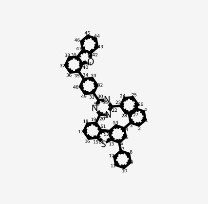 c1ccc(-c2cc(-c3ccccc3)c3sc4cccc(-c5nc(-c6ccccc6)nc(-c6ccc(-c7cccc8c7oc7ccccc78)cc6)n5)c4c3c2)cc1